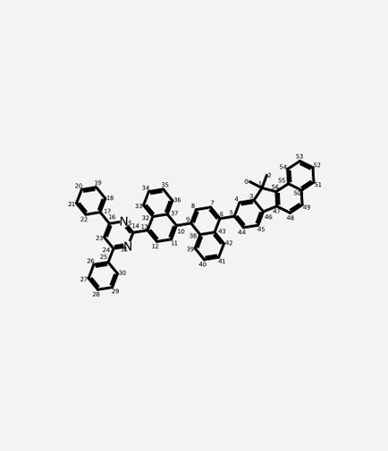 CC1(C)c2cc(-c3ccc(-c4ccc(-c5nc(-c6ccccc6)cc(-c6ccccc6)n5)c5ccccc45)c4ccccc34)ccc2-c2ccc3ccccc3c21